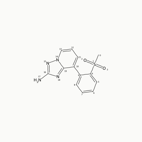 CS(=O)(=O)c1ccccc1-c1cccn2nc(N)nc12